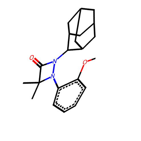 COc1ccccc1N1N(C2C3CC4CC(C3)CC2C4)C(=O)C1(C)C